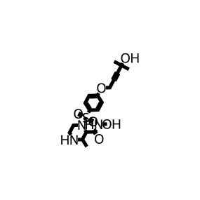 CC1NCCN(S(=O)(=O)c2ccc(OCC#CC(C)(C)O)cc2)C1C(=O)NO